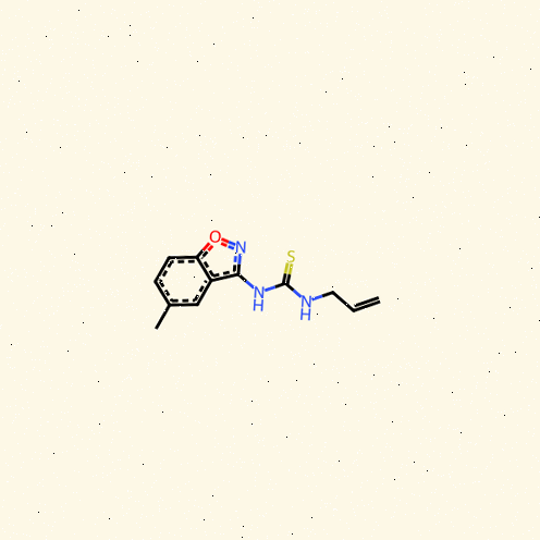 C=CCNC(=S)Nc1noc2ccc(C)cc12